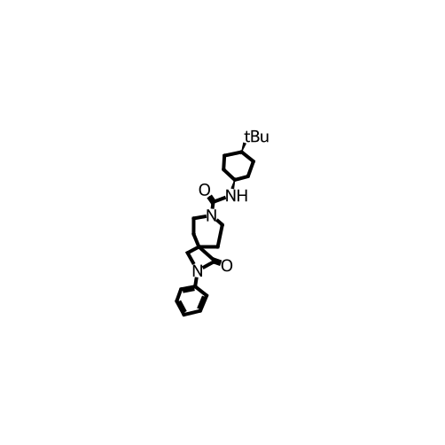 CC(C)(C)[C@H]1CC[C@@H](NC(=O)N2CCC3(CC2)CN(c2ccccc2)C3=O)CC1